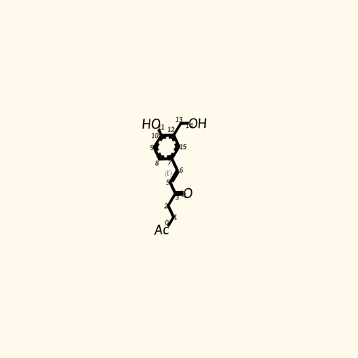 CC(=O)CCC(=O)/C=C/c1ccc(O)c(CO)c1